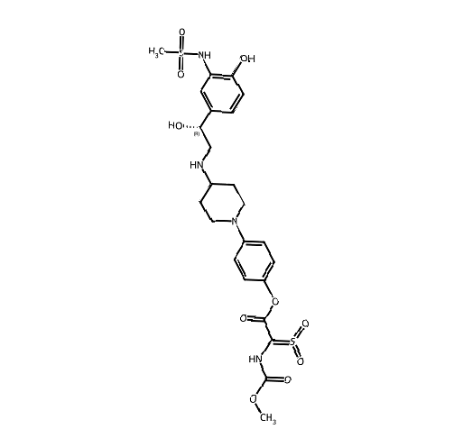 COC(=O)NC(C(=O)Oc1ccc(N2CCC(NC[C@H](O)c3ccc(O)c(NS(C)(=O)=O)c3)CC2)cc1)=S(=O)=O